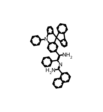 N/C(=N\C(=C(/N)c1ccc2c(c1)C1(c3ccccc3-c3ccccc31)c1ccccc1N2c1ccccc1)c1ccccc1)c1cccc2ccccc12